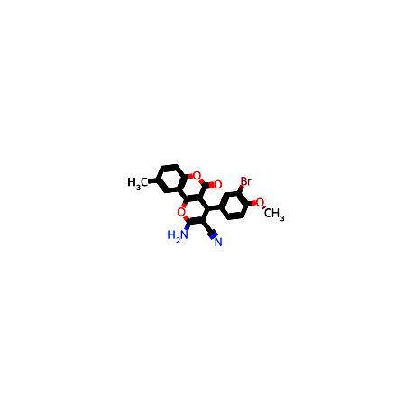 COc1ccc(C2C(C#N)=C(N)Oc3c2c(=O)oc2ccc(C)cc32)cc1Br